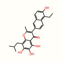 CCc1c(O)ccc2cc(-c3c(C)oc4c(CC(C)C)c(O)c(O)c(O)c4c3=O)ccc12